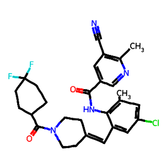 Cc1cc(Cl)cc(C=C2CCN(C(=O)C3CCC(F)(F)CC3)CC2)c1NC(=O)c1cnc(C)c(C#N)c1